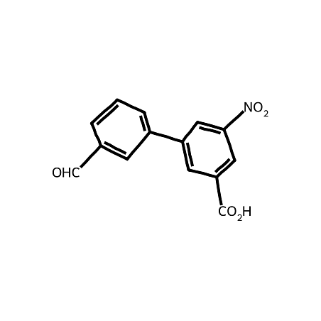 O=Cc1cccc(-c2cc(C(=O)O)cc([N+](=O)[O-])c2)c1